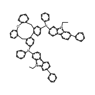 CCn1c2cc(-c3ccccc3)ccc2c2ccc(N(c3ccccc3)c3ccc4c(c3)Cc3ccccc3Oc3ccccc3Cc3cc(N(c5ccccc5)c5ccc6c7ccc(-c8ccccc8)cc7n(CC)c6c5)ccc3-4)cc21